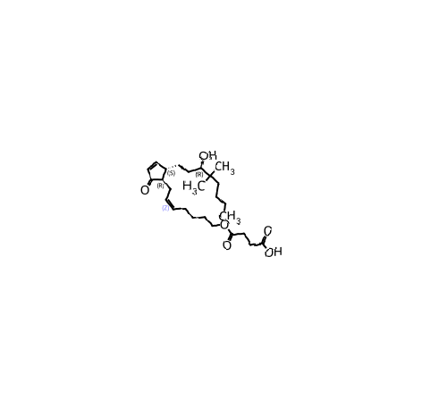 CCCCC(C)(C)[C@H](O)CC[C@H]1C=CC(=O)[C@@H]1C/C=C\CCCCOC(=O)CCC(=O)O